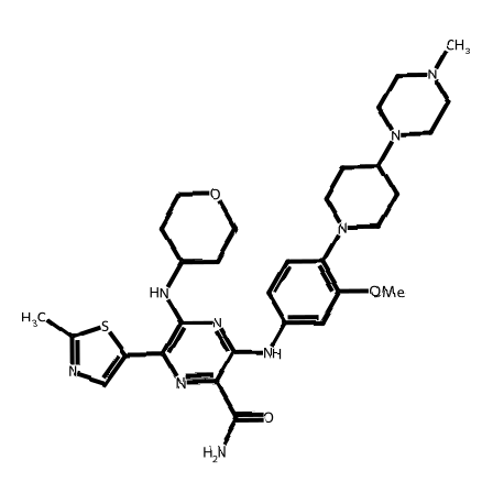 COc1cc(Nc2nc(NC3CCOCC3)c(-c3cnc(C)s3)nc2C(N)=O)ccc1N1CCC(N2CCN(C)CC2)CC1